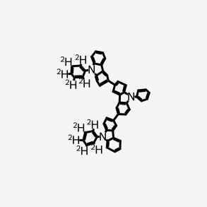 [2H]c1c([2H])c([2H])c(-n2c3ccccc3c3cc(-c4ccc5c(c4)c4cc(-c6ccc7c(c6)c6ccccc6n7-c6c([2H])c([2H])c([2H])c([2H])c6[2H])ccc4n5-c4ccccc4)ccc32)c([2H])c1[2H]